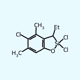 CCC1c2c(cc(C)c(Cl)c2C)O[Si]1(Cl)Cl